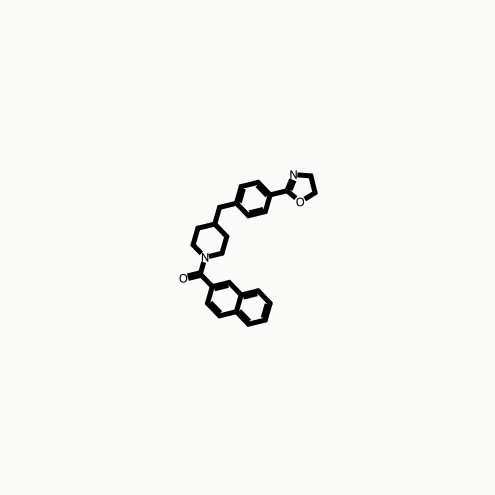 O=C(c1ccc2ccccc2c1)N1CCC(Cc2ccc(C3=NCCO3)cc2)CC1